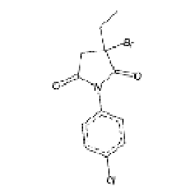 CCC1(Br)CC(=O)N(c2ccc(Cl)cc2)C1=O